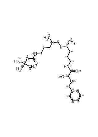 CN(CCCNC(=O)OC(C)(C)C)CCN(C)CCCNC(=O)C(=O)OCc1ccccc1